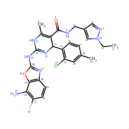 CC1=C(C(=O)NCc2cnn(CC(F)(F)F)c2)C(c2ccc(C)cc2Cl)N=C(Nc2nc3ccc(F)c(N)c3o2)N1